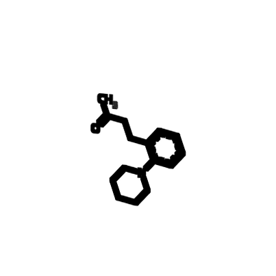 CC(=O)CCc1ccccc1N1CCCCC1